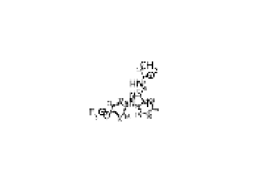 C=CC(=O)NCc1nn(-c2ccc(OC(F)(F)F)cc2)c2cccnc12